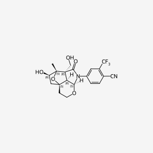 C[C@]12O[C@@]3(CCO[C@H]4[C@@H]3[C@]1(CO)C(=O)N4c1ccc(C#N)c(C(F)(F)F)c1)C[C@H]2O